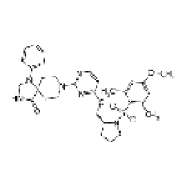 COc1cc(C)c(S(=O)(=O)N2CCC[C@H]2COc2ccnc(N3CCC4(CC3)C(=O)NCN4c3ccccc3)n2)c(C)c1